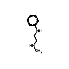 [SiH3]NCCNc1ccccc1